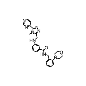 Cn1c(CNc2cccc(C(=O)NCc3ccccc3N3CCOCC3)c2)nnc1-c1ccncn1